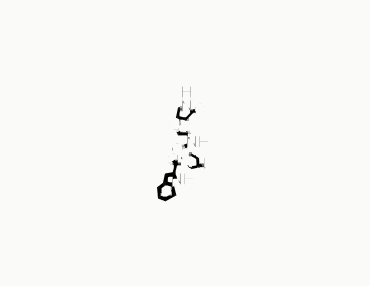 O=C[C@H](C[C@@H]1CCNC1=O)NC(=O)[C@@H]1CC(F)(F)CN1C(=O)c1cc2ccccc2[nH]1